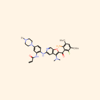 C=CC(=O)Nc1cc(N2CCN(CC)CC2)ccc1Nc1cc2c(N(C)C)c(C(=O)c3c(F)c(OC)cc(OC)c3P)oc2cn1